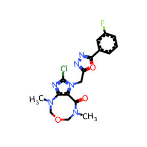 CN1COCN(C)c2nc(Cl)n(Cc3nnc(-c4cccc(F)c4)o3)c2C1=O